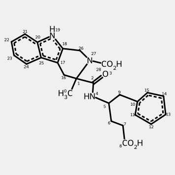 CC1(C(=O)NC(CCC(=O)O)Cc2ccccc2)Cc2c([nH]c3ccccc23)CN1C(=O)O